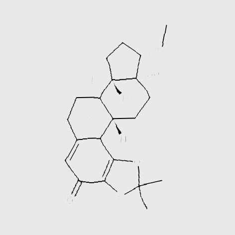 CC[C@H]1CC[C@H]2[C@@H]3CCC4=CC(=O)C5=C(OC(C)(C)O5)[C@]4(C)[C@H]3CC[C@]12C